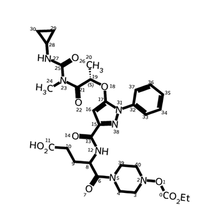 CCOC(=O)ON1CCN(C(=O)C(CCC(=O)O)NC(=O)c2cc(O[C@@H](C)C(=O)N(C)C(=O)NC3CC3)n(-c3ccccc3)n2)CC1